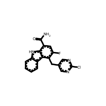 NC(=O)c1cc(F)c(Cc2cnc(Cl)nc2)c2c1[nH]c1ccccc12